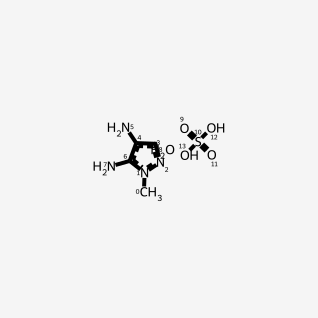 Cn1ncc(N)c1N.O.O=S(=O)(O)O